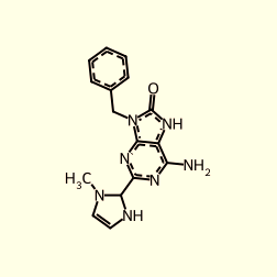 CN1C=CNC1c1nc(N)c2[nH]c(=O)n(Cc3ccccc3)c2n1